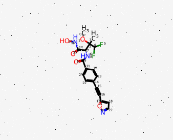 COC(C)(C(F)F)[C@H](NC(=O)c1ccc(C#Cc2ccno2)cc1)C(=O)NO